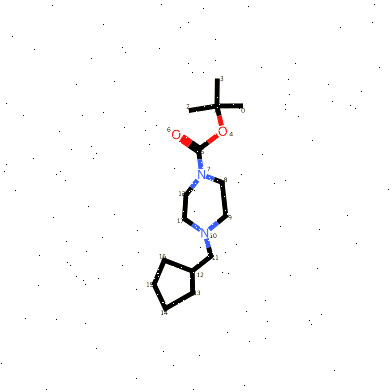 CC(C)(C)OC(=O)N1CCN(CC2CCCC2)CC1